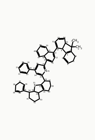 CC1(C)C2=C(C=CCC2)C2C(C3=CC=C(c4cc(-c5ccccc5)cc(C5CCCC6=C5SC5C(C7=CCCC=C7)CCCC65)n4)C4C=CC=CC34)=CC=CC21